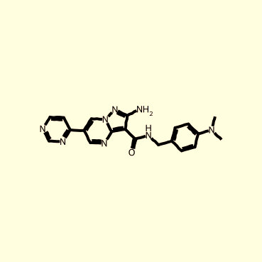 CN(C)c1ccc(CNC(=O)c2c(N)nn3cc(-c4ccncn4)cnc23)cc1